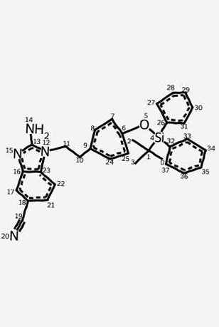 CC(C)(C)[Si](Oc1ccc(CCn2c(N)nc3cc(C#N)ccc32)cc1)(c1ccccc1)c1ccccc1